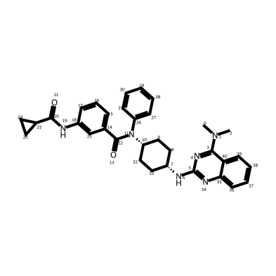 CN(C)c1nc(N[C@H]2CC[C@@H](N(C(=O)c3cccc(NC(=O)C4CC4)c3)c3ccccc3)CC2)nc2ccccc12